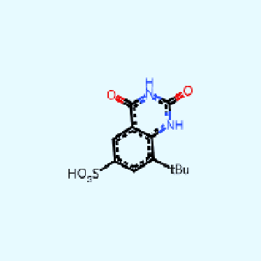 CC(C)(C)c1cc(S(=O)(=O)O)cc2c(=O)[nH]c(=O)[nH]c12